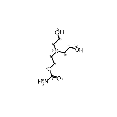 NC(=O)OCCN(CCO)CCO